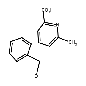 Cc1cccc(C(=O)O)n1.[O]Cc1ccccc1